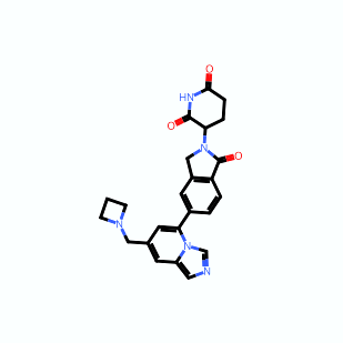 O=C1CCC(N2Cc3cc(-c4cc(CN5CCC5)cc5cncn45)ccc3C2=O)C(=O)N1